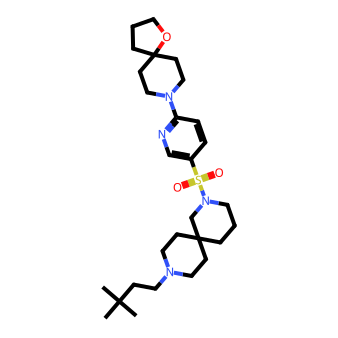 CC(C)(C)CCN1CCC2(CCCN(S(=O)(=O)c3ccc(N4CCC5(CCCO5)CC4)nc3)C2)CC1